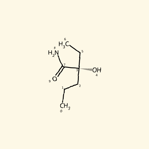 CCC[C@](O)(CC)C(N)=O